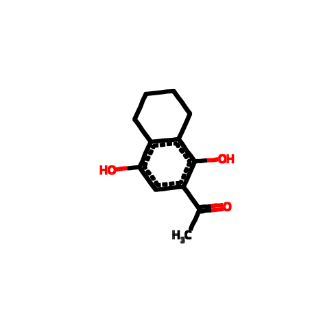 CC(=O)c1cc(O)c2c(c1O)CCCC2